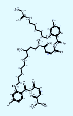 CC(CCN(C)C(=N)/C=C\C(=N)NC(=O)c1ccc(F)cc1NCCCCCNC(=O)OC(C)(C)C)CNCCCCCNc1cc(F)ccc1C(=O)NC(=N)/C=C\C(=N)N(C)C